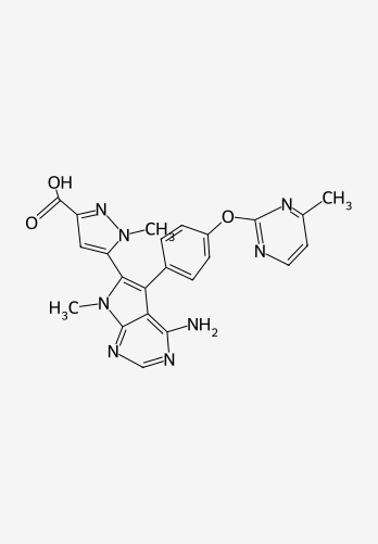 Cc1ccnc(Oc2ccc(-c3c(-c4cc(C(=O)O)nn4C)n(C)c4ncnc(N)c34)cc2)n1